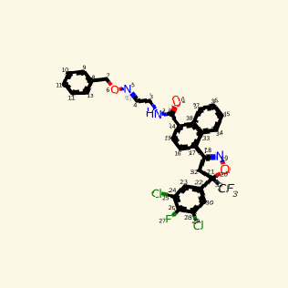 O=C(NC/C=N/OCc1ccccc1)c1ccc(C2=NOC(c3cc(Cl)c(F)c(Cl)c3)(C(F)(F)F)C2)c2ccccc12